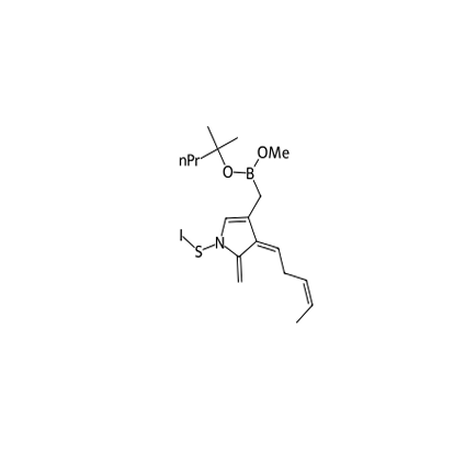 C=c1/c(=C\C/C=C\C)c(CB(OC)OC(C)(C)CCC)cn1SI